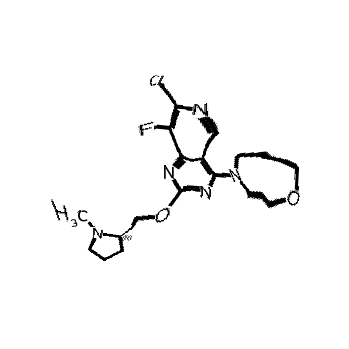 CN1CCC[C@@H]1COc1nc(N2CCCOCC2)c2cnc(Cl)c(F)c2n1